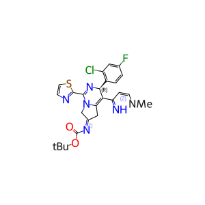 CN/C=C\C(=N)C1=C2C/C(=N/C(=O)OC(C)(C)C)CN2C(c2nccs2)=N[C@H]1c1ccc(F)cc1Cl